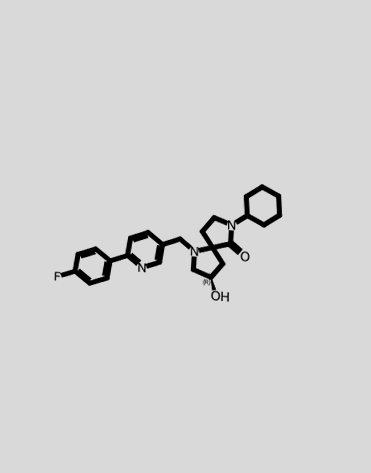 O=C1N(C2CCCCC2)CCC12C[C@@H](O)CN2Cc1ccc(-c2ccc(F)cc2)nc1